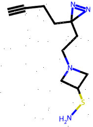 C#CCCC1(CCN2CC(SN)C2)N=N1